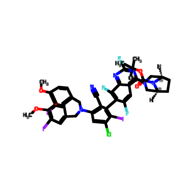 COc1ccc(CN(Cc2ccc(OC)c(I)c2)c2cc(Cl)c(I)c(-c3c(F)cc4c(N5C[C@H]6CC[C@@H](C5)N6C(=O)OC(C)(C)C)nc(F)nc4c3F)c2C#N)cc1I